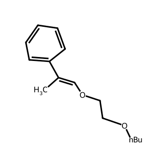 CCCCOCCOC=C(C)c1ccccc1